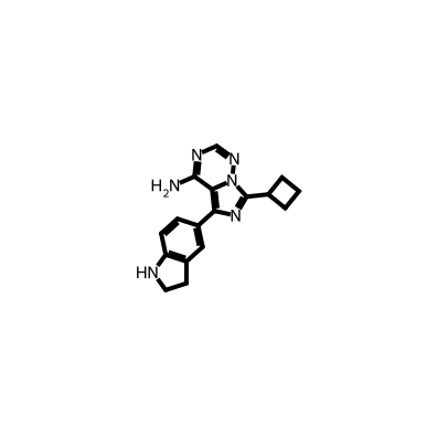 Nc1ncnn2c(C3CCC3)nc(-c3ccc4c(c3)CCN4)c12